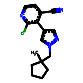 CC1(Cn2cc(-c3c(C#N)ccnc3Cl)cn2)CCCC1